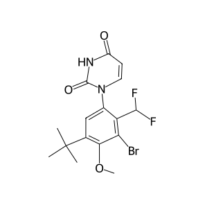 COc1c(C(C)(C)C)cc(-n2ccc(=O)[nH]c2=O)c(C(F)F)c1Br